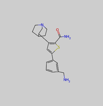 NCc1cccc(-c2cc(C3CN4CCC3CC4)c(C(N)=O)s2)c1